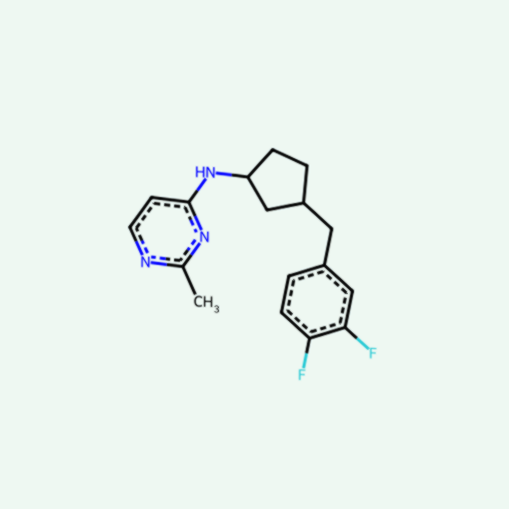 Cc1nccc(NC2CCC(Cc3ccc(F)c(F)c3)C2)n1